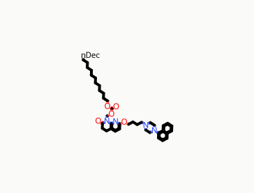 CCCCCCCCCCCCCCCCCCCCCCOC(=O)OCN1C(=O)CCc2ccc(OCCCCN3CCN(c4cccc5ccccc45)CC3)nc21